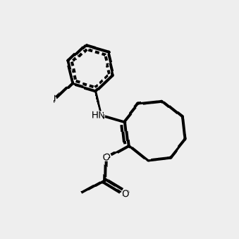 CC(=O)OC1=C(Nc2ccccc2I)CCCCCC1